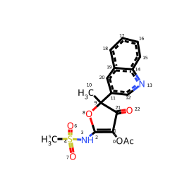 CC(=O)OC1=C(NS(C)(=O)=O)OC(C)(c2cnc3ccccc3c2)C1=O